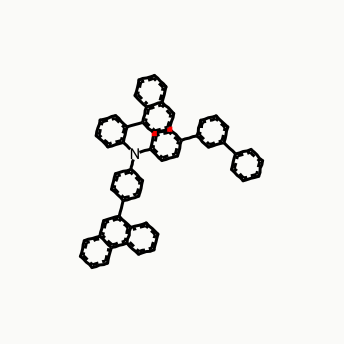 c1ccc(-c2cccc(-c3ccc(N(c4ccc(-c5cc6ccccc6c6ccccc56)cc4)c4ccccc4-c4cccc5ccccc45)cc3)c2)cc1